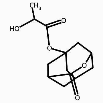 CC(O)C(=O)OC12CC3CC(C1)OC(=O)C(C3)C2